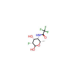 C[C@@H]1OC(O)[C@H](F)[C@H](O)[C@@H]1NC(=O)C(F)(F)F